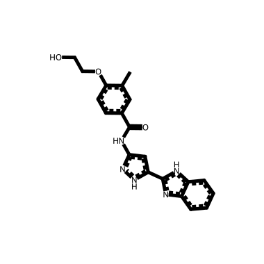 Cc1cc(C(=O)Nc2cc(-c3nc4ccccc4[nH]3)[nH]n2)ccc1OCCO